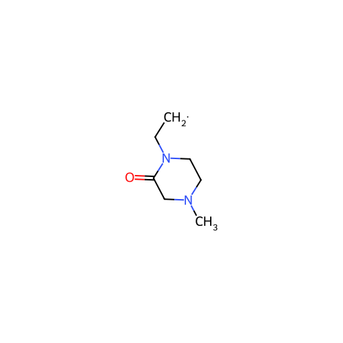 [CH2]CN1CCN(C)CC1=O